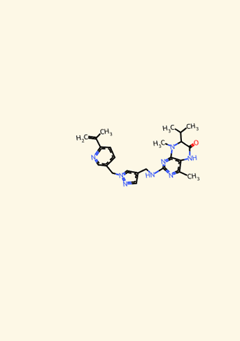 C=C(C)c1ccc(Cn2cc(CNc3nc(C)c4c(n3)N(C)C(C(C)C)C(=O)N4)cn2)cn1